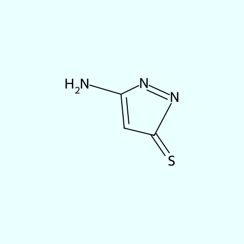 NC1=CC(=S)N=N1